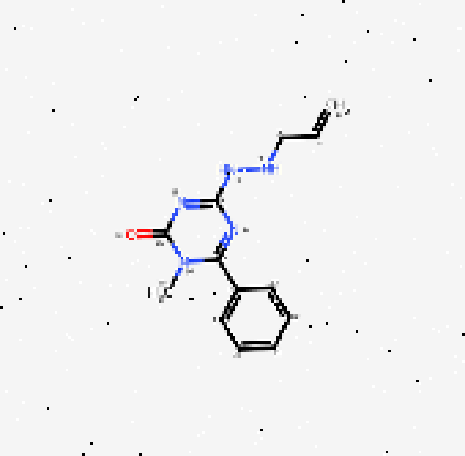 C=CCNNc1nc(-c2ccccc2)n(C)c(=O)n1